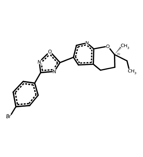 CC[C@@]1(C)CCc2cc(-c3nc(-c4ccc(Br)cc4)no3)cnc2O1